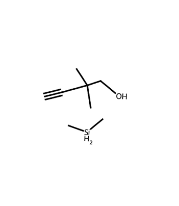 C#CC(C)(C)CO.C[SiH2]C